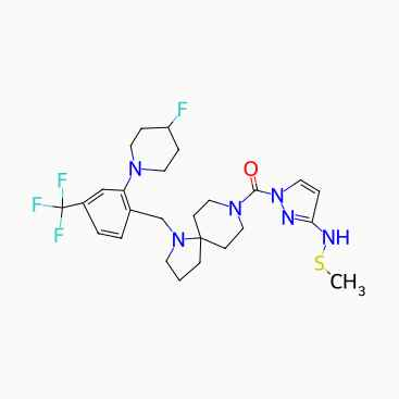 CSNc1ccn(C(=O)N2CCC3(CCCN3Cc3ccc(C(F)(F)F)cc3N3CCC(F)CC3)CC2)n1